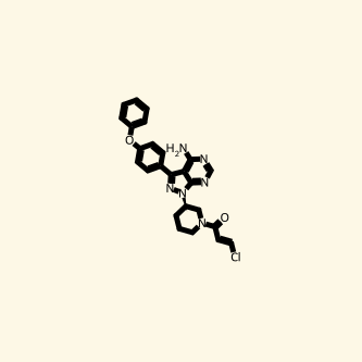 Nc1ncnc2c1c(-c1ccc(Oc3ccccc3)cc1)nn2[C@@H]1CCCN(C(=O)/C=C/Cl)C1